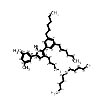 CCCCCCc1cc(CCCCCC)cc(C2=C(CCCC)C=C(c3cc(C)cc(C)c3)[N+]2=[N-])c1.CCCC[CH2][Ni][CH2]CCCC